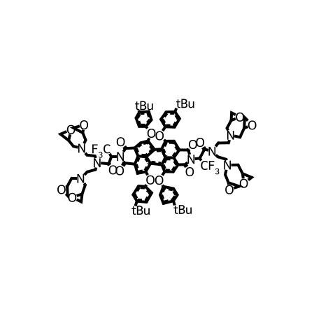 CC(C)(C)c1ccc(Oc2cc3c4c(cc(Oc5ccc(C(C)(C)C)cc5)c5c6c(Oc7ccc(C(C)(C)C)cc7)cc7c8c(cc(Oc9ccc(C(C)(C)C)cc9)c(c2c45)c86)C(=O)N(C(C(=O)N(CCN(CC2CO2)CC2CO2)CCN(CC2CO2)CC2CO2)C(F)(F)F)C7=O)C(=O)N(C(C(=O)N(CCN(CC2CO2)CC2CO2)CCN(CC2CO2)CC2CO2)C(F)(F)F)C3=O)cc1